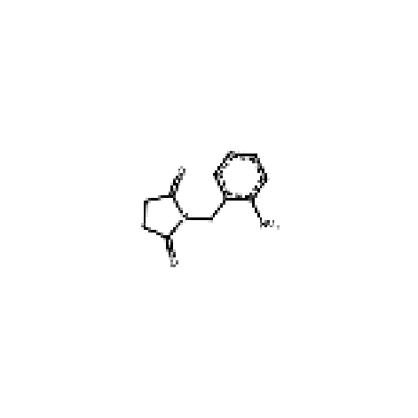 O=C1CCC(=O)N1Cc1ccccc1[N+](=O)[O-]